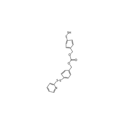 O=C(OCc1ccc(SS)cc1)OCc1ccc(SSc2ccccn2)cc1